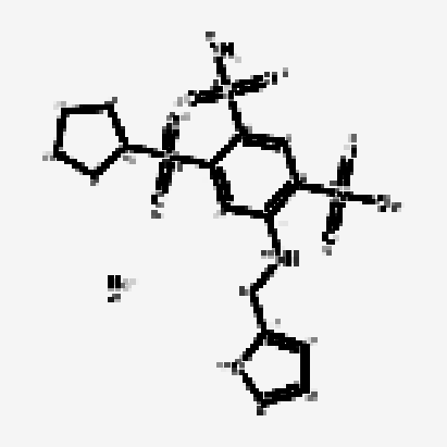 NS(=O)(=O)c1cc(S(=O)(=O)[O-])c(NCc2ccco2)cc1S(=O)(=O)C1CCCC1.[Na+]